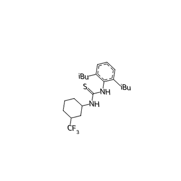 CCC(C)c1cccc(C(C)CC)c1NC(=S)NC1CCCC(C(F)(F)F)C1